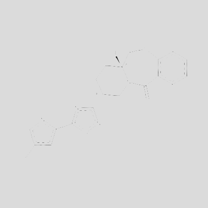 O=C1c2ccccc2SC[C@H]2CC[C@@H](c3noc(-c4cc(Cl)c[nH]4)n3)CN12